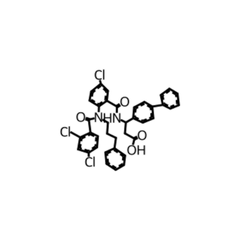 O=C(O)CC(NC(=O)c1cc(Cl)ccc1N(CCCc1ccccc1)C(=O)c1ccc(Cl)cc1Cl)c1ccc(-c2ccccc2)cc1